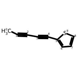 CC#CC#Cc1cccs1